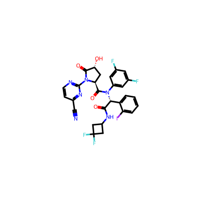 N#Cc1ccnc(N2C(=O)[C@H](O)C[C@H]2C(=O)N(c2cc(F)cc(F)c2)[C@@H](C(=O)NC2CC(F)(F)C2)c2ccccc2I)n1